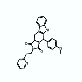 COc1ccc(C2c3[nH]c4ccccc4c3CC3C(=O)N(CCc4ccccn4)C(=O)N32)cc1